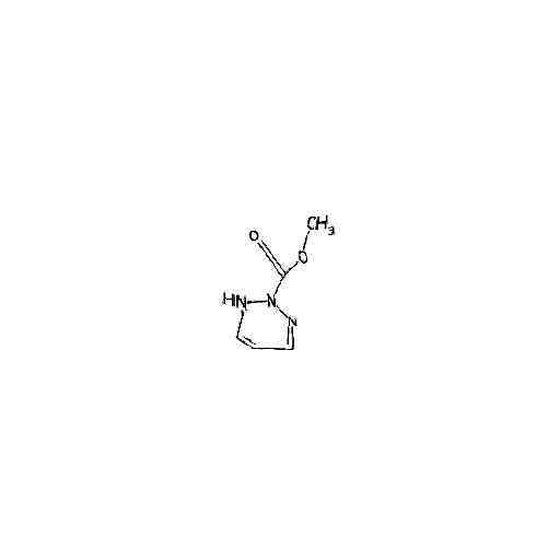 COC(=O)N1N=CC=CN1